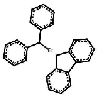 CCC(c1ccccc1)c1ccccc1.c1ccc2c(c1)Cc1ccccc1-2